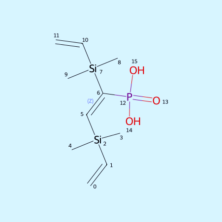 C=C[Si](C)(C)/C=C(/[Si](C)(C)C=C)P(=O)(O)O